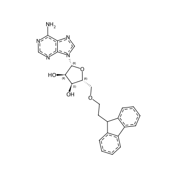 Nc1ncnc2c1ncn2[C@@H]1O[C@H](COCCC2c3ccccc3-c3ccccc32)[C@@H](O)[C@H]1O